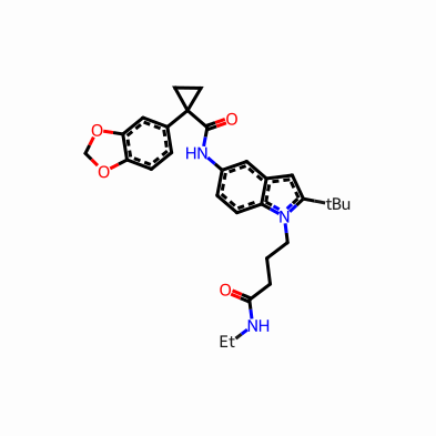 CCNC(=O)CCCn1c(C(C)(C)C)cc2cc(NC(=O)C3(c4ccc5c(c4)OCO5)CC3)ccc21